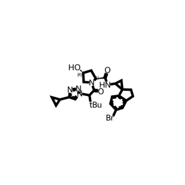 CC(C)(C)C(C(=O)N1C[C@H](O)C[C@H]1C(=O)NC1CC12CCc1cc(Br)ccc12)n1cc(C2CC2)nn1